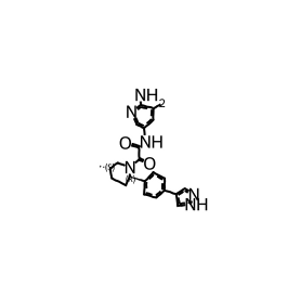 Cc1cc(NC(=O)C(=O)N2C[C@@H](C)CC[C@@H]2c2ccc(-c3cn[nH]c3)cc2)cnc1N